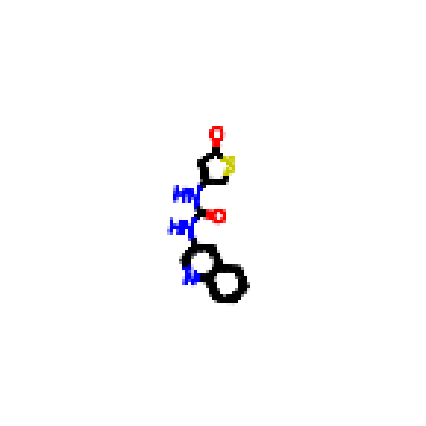 O=C(NC1=CC(=O)SC1)Nc1cnc2ccccc2c1